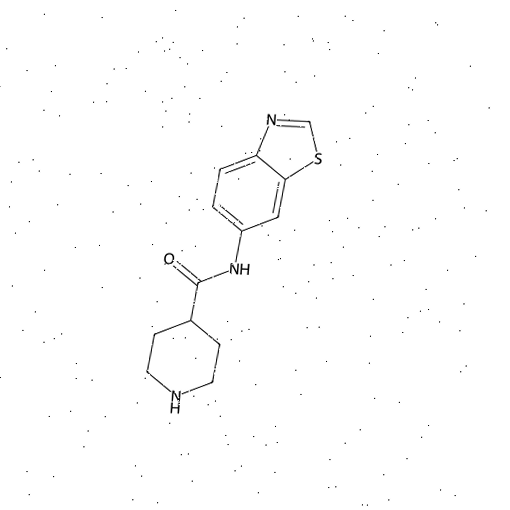 O=C(Nc1ccc2ncsc2c1)C1CCNCC1